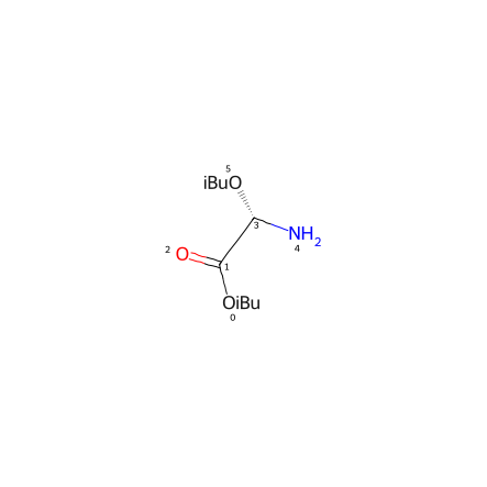 CC(C)COC(=O)[C@@H](N)OCC(C)C